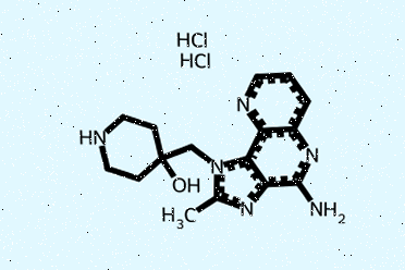 Cc1nc2c(N)nc3cccnc3c2n1CC1(O)CCNCC1.Cl.Cl